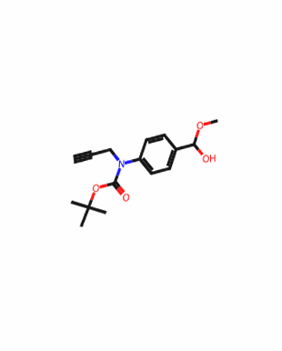 C#CCN(C(=O)OC(C)(C)C)c1ccc(C(O)OC)cc1